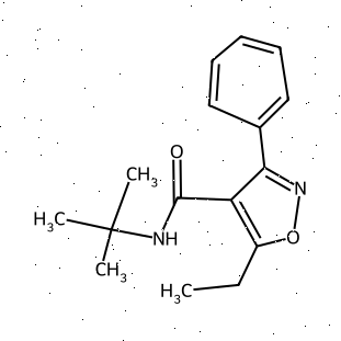 CCc1onc(-c2ccccc2)c1C(=O)NC(C)(C)C